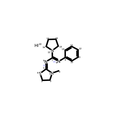 CN1CCS/C1=N/C(=N/c1ccccc1)N1CCCC1.I